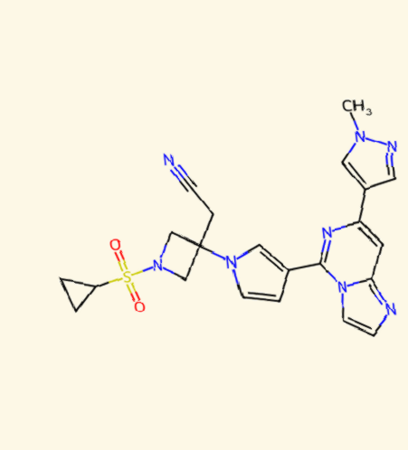 Cn1cc(-c2cc3nccn3c(-c3ccn(C4(CC#N)CN(S(=O)(=O)C5CC5)C4)c3)n2)cn1